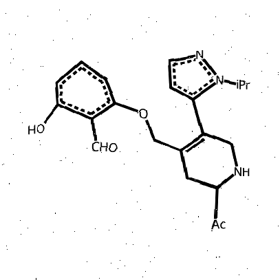 CC(=O)C1CC(COc2cccc(O)c2C=O)=C(c2ccnn2C(C)C)CN1